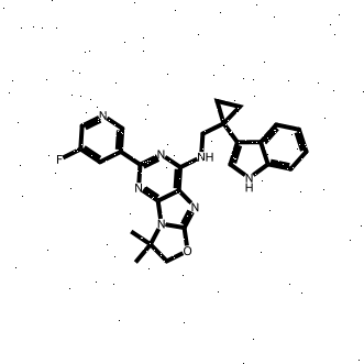 CC1(C)COc2nc3c(NCC4(c5c[nH]c6ccccc56)CC4)nc(-c4cncc(F)c4)nc3n21